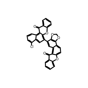 O=c1c2ccccc2oc2ccc3c4c(c(-c5cc6c(Cl)cccc6c6c(=O)c7ccccc7oc56)cc3c12)OCO4